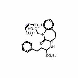 CCOC(=O)C(CCc1ccccc1)N[C@H]1CCc2ccccc2N(CC(=O)O)C1=O.O=C(O)/C=C\C(=O)O